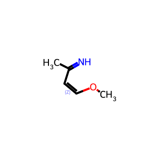 CO/C=C\C(C)=N